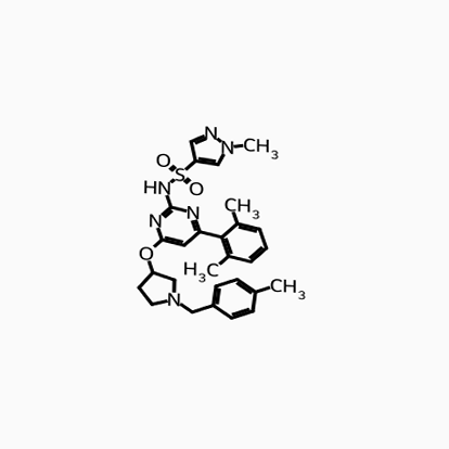 Cc1ccc(CN2CCC(Oc3cc(-c4c(C)cccc4C)nc(NS(=O)(=O)c4cnn(C)c4)n3)C2)cc1